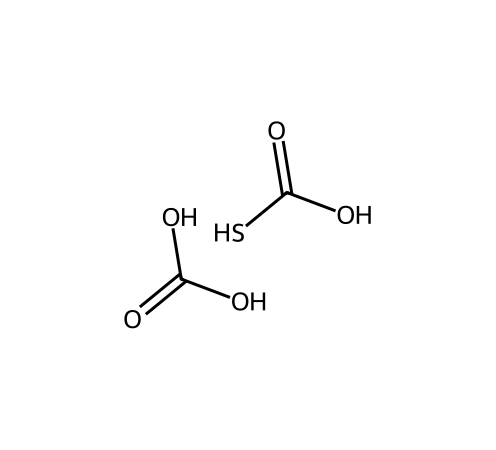 O=C(O)O.O=C(O)S